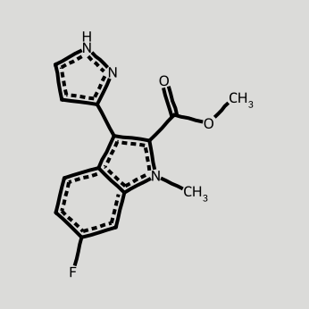 COC(=O)c1c(-c2cc[nH]n2)c2ccc(F)cc2n1C